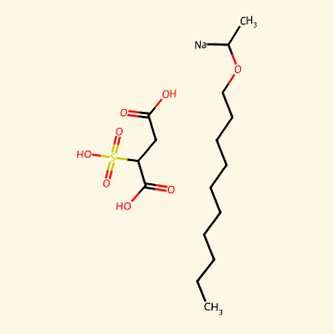 CCCCCCCCCCO[CH](C)[Na].O=C(O)CC(C(=O)O)S(=O)(=O)O